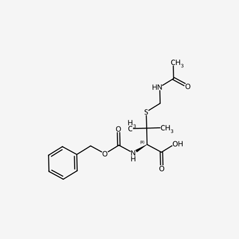 CC(=O)NCSC(C)(C)[C@H](NC(=O)OCc1ccccc1)C(=O)O